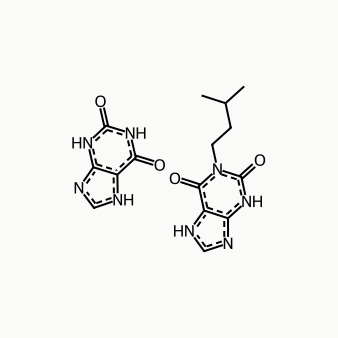 CC(C)CCn1c(=O)[nH]c2nc[nH]c2c1=O.O=c1[nH]c(=O)c2[nH]cnc2[nH]1